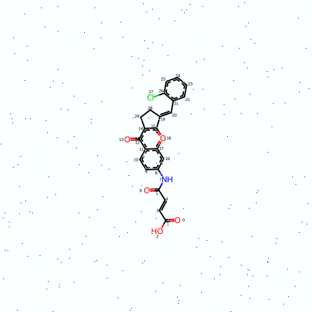 O=C(O)/C=C/C(=O)Nc1ccc2c(=O)c3c(oc2c1)/C(=C/c1ccccc1Cl)CC3